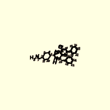 NC[C@H]1CC[C@H](C(=O)N[C@@H](Cc2ccccc2)c2nc(-c3ccccc3)cc(=O)[nH]2)CC1